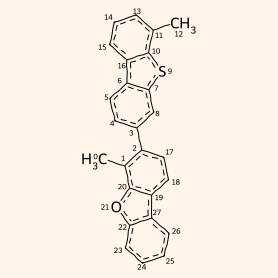 Cc1c(-c2ccc3c(c2)sc2c(C)cccc23)ccc2c1oc1ccccc12